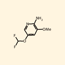 COc1cc(OC(F)F)cnc1N